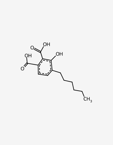 CCCCCCc1ccc(C(=O)O)c(C(=O)O)c1O